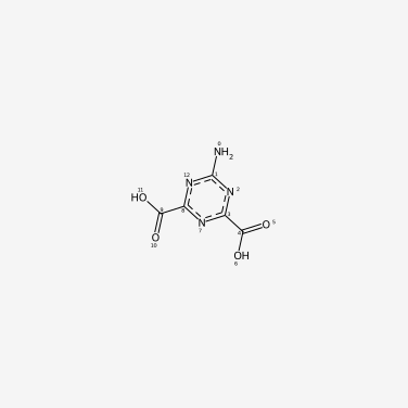 Nc1nc(C(=O)O)nc(C(=O)O)n1